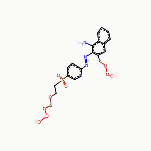 Nc1c(/N=N/c2ccc(S(=O)(=O)CCOSOOO)cc2)c(SOOO)cc2ccccc12